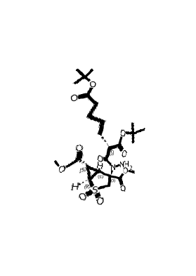 COC(=O)[C@@H]1[C@@H]2[C@H]1S(=O)(=O)C[C@]2(C(=O)OC)N(N)C(=O)[C@H](CCCCC(=O)OC(C)(C)C)C(=O)OC(C)(C)C